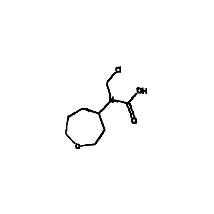 O=C(O)N(CCl)C1CCCOCC1